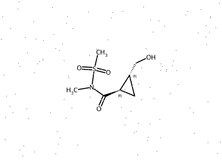 CN(C(=O)[C@@H]1C[C@H]1CO)S(C)(=O)=O